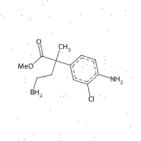 BCCC(C)(C(=O)OC)c1ccc(N)c(Cl)c1